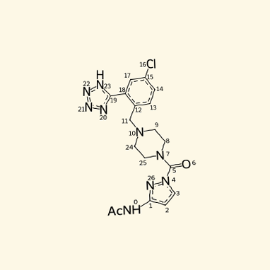 CC(=O)Nc1ccn(C(=O)N2CCN(Cc3ccc(Cl)cc3-c3nnn[nH]3)CC2)n1